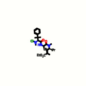 CCOC(=O)/C(C)=C/[C@H](C(C)C)N(C)C(=O)C(NC(=O)[C@@H](N(C)Cl)C(C)(C)c1ccccc1)C(C)(C)C